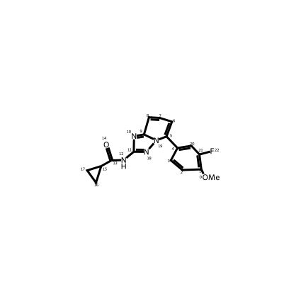 COc1ccc(-c2cccc3nc(NC(=O)C4CC4)nn23)cc1F